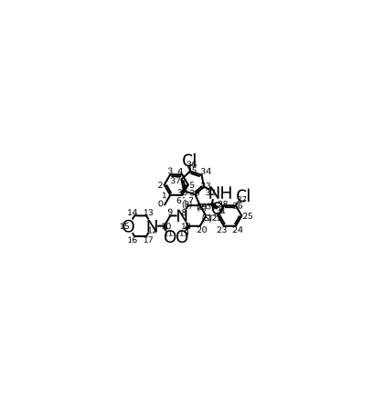 Cc1ccccc1[C@H]1N(CC(=O)N2CCOCC2)C(=O)C[C@@H](c2cccc(Cl)c2)[C@]12C(=O)Nc1cc(Cl)ccc12